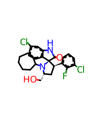 O=C1Nc2cc(Cl)ccc2[C@@]12[C@@H](c1cccc(Cl)c1F)C[C@H](CO)N2C1CCCCCC1